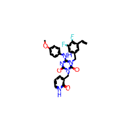 C=Cc1cc(Cn2c(Nc3ccc(OC)cc3)nc(=O)n(Cc3ccc[nH]c3=O)c2=O)cc(F)c1F